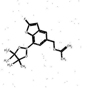 C=C(C)OCc1cc(B2OC(C)(C)C(C)(C)O2)c2oc(F)cc2c1